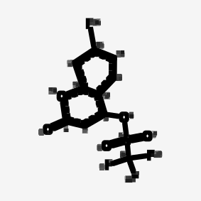 O=c1cc(OS(=O)(=O)C(F)(F)F)c2ccc(F)cc2o1